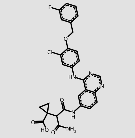 NC(=O)C(C(=O)Nc1ccc2ncnc(Nc3ccc(OCc4cccc(F)c4)c(Cl)c3)c2c1)C1(C(=O)O)CC1